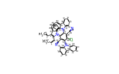 C=Cc1c(/C=C\C)n(-c2c(C#N)c(-n3c4ccccc4c4ccccc43)c(Cl)c(C#N)c2-n2c3ccccc3c3ccccc32)c2ccccc12